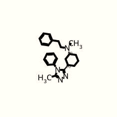 Cc1nnc([C@@H]2CCC[C@@H](N(C)CCc3ccccc3)C2)n1-c1ccccc1